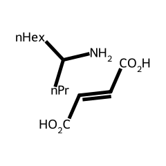 CCCCCCC(N)CCC.O=C(O)/C=C/C(=O)O